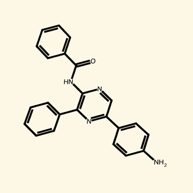 Nc1ccc(-c2cnc(NC(=O)c3ccccc3)c(-c3ccccc3)n2)cc1